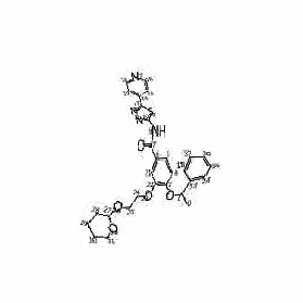 CC(Oc1ccc(C(=O)Nc2nnc(-c3ccncc3)s2)cc1OCCOC1CCCCO1)c1ccccc1